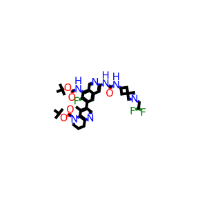 Cc1c(-c2cc3cc(NC(=O)NC4CC5(C4)CN(CC(F)F)C5)ncc3c(NC(=O)OC(C)(C)C)c2F)cnc2c1N(C(=O)OC(C)(C)C)CCC2